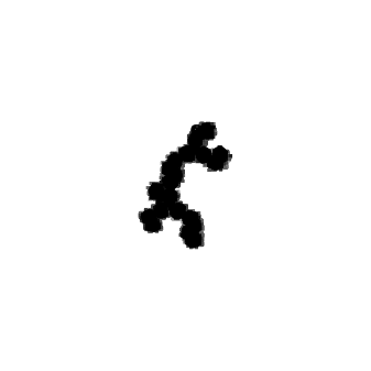 c1ccc2c(-c3ccc(N(c4ccc(-c5ccc6ccc7c8ccc(-c9ccc(N(c%10ccc(-c%11ccc%12ccc%13c%14ccccc%14ccc%13c%12c%11)cc%10)c%10ccc(-c%11cccc%12ccccc%11%12)cc%10)c%10oc%11ccccc%11c9%10)cc8ccc7c6c5)cc4)c4ccc5oc6ccccc6c5c4)cc3)cccc2c1